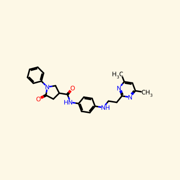 Cc1cc(C)nc(CCNc2ccc(NC(=O)C3CC(=O)N(c4ccccc4)C3)cc2)n1